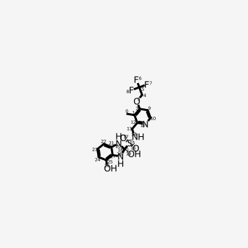 Cc1c(OCC(F)(F)F)ccnc1CNS(=O)(=O)[C@]1(O)Nc2cccc(O)c2N1